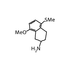 COc1ccc(SC)c2c1CC(N)CC2